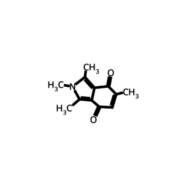 CC1=CC(=O)c2c(c(C)n(C)c2C)C1=O